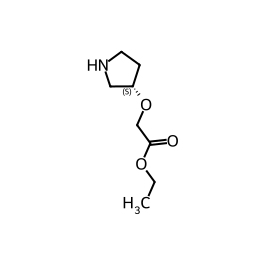 CCOC(=O)CO[C@H]1CCNC1